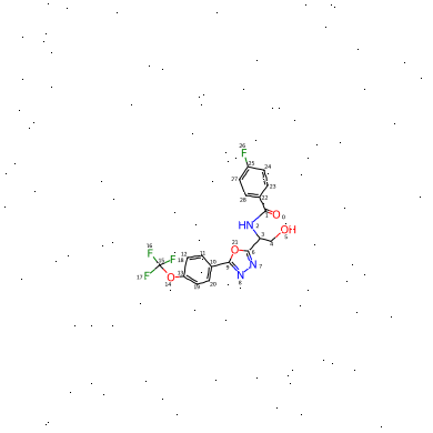 O=C(NC(CO)c1nnc(-c2ccc(OC(F)(F)F)cc2)o1)c1ccc(F)cc1